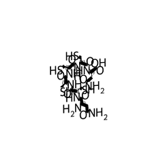 NC(=O)C[C@H](NC(=O)[C@H](CS)NC(=O)[C@H](CS)NC(=O)[C@H](CS)NC(=O)[C@H](CS)NC(=O)[C@@H](N)CC(N)=O)C(=O)O